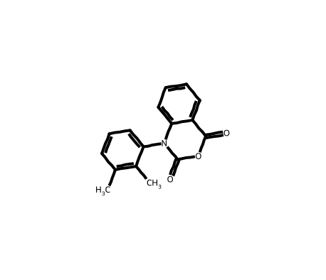 Cc1cccc(-n2c(=O)oc(=O)c3ccccc32)c1C